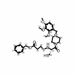 COc1ccc(CN2CCN(C(=O)[C@H](CS)NSCCC(=O)OCc3ccccc3)CC2)c(OC)c1OC